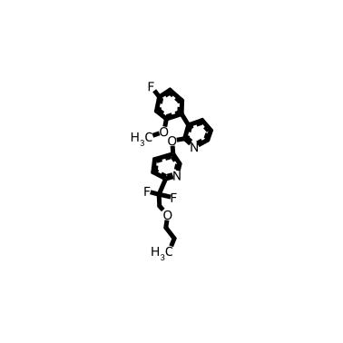 CCCOCC(F)(F)c1ccc(Oc2ncccc2-c2ccc(F)cc2OC)cn1